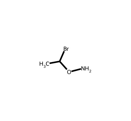 CC(Br)ON